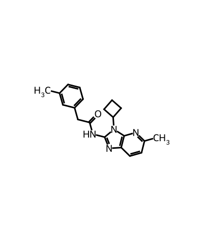 Cc1cccc(CC(=O)Nc2nc3ccc(C)nc3n2C2CCC2)c1